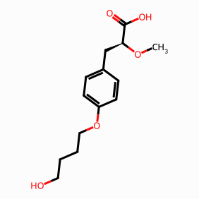 CO[C@@H](Cc1ccc(OCCCCO)cc1)C(=O)O